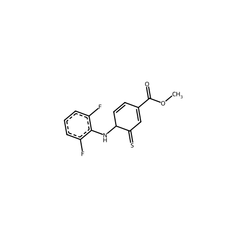 COC(=O)C1=CC(=S)C(Nc2c(F)cccc2F)C=C1